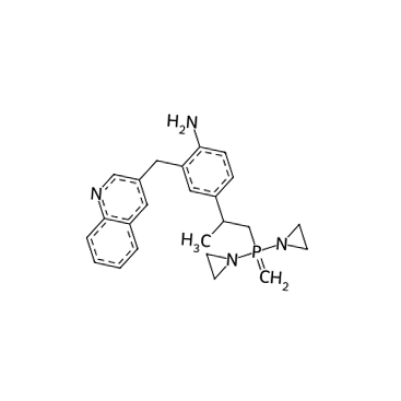 C=P(CC(C)c1ccc(N)c(Cc2cnc3ccccc3c2)c1)(N1CC1)N1CC1